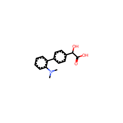 CN(C)c1ccccc1-c1ccc(C(O)C(=O)O)cc1